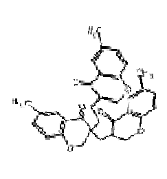 Cc1ccc2c(c1)C(=O)C(CC1(CCc3coc4ccc(C)cc4c3=O)COc3ccc(C)cc3C1=O)CO2